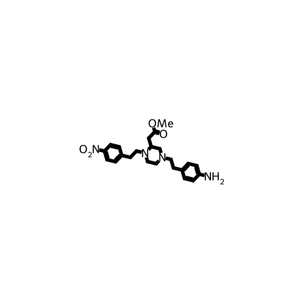 COC(=O)CC1CN(CCc2ccc(N)cc2)CCN1CCc1ccc([N+](=O)[O-])cc1